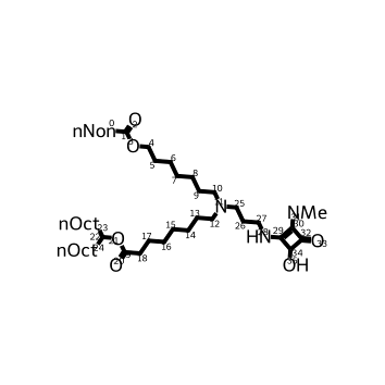 CCCCCCCCCC(=O)OCCCCCCCN(CCCCCCCC(=O)OC(CCCCCCCC)CCCCCCCC)CCCNC1=C(NC)C(=O)C1O